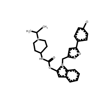 CC(C)N1CCC(NC(=O)Oc2cc3ccccc3n2Cc2cc(-c3ccc(Cl)cc3)on2)CC1